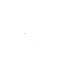 Nc1ccncc1C1CCC(N(C(=O)CNC(=O)c2cccc(C(F)(F)F)c2)C2CNC2)CC1